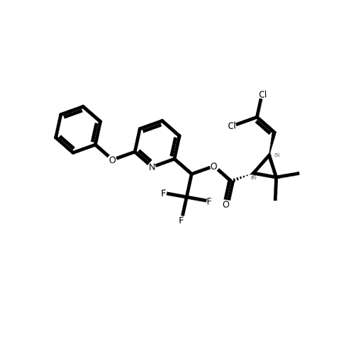 CC1(C)[C@H](C=C(Cl)Cl)[C@H]1C(=O)OC(c1cccc(Oc2ccccc2)n1)C(F)(F)F